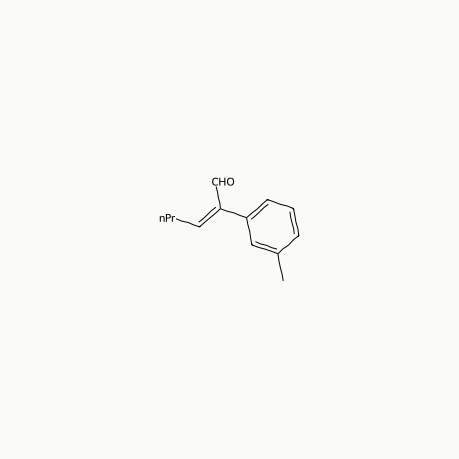 CCCC=C(C=O)c1cccc(C)c1